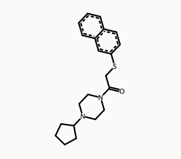 O=C(CSc1ccc2ccccc2c1)N1CCN(C2CCCC2)CC1